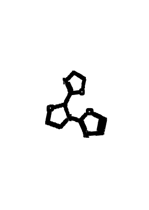 c1coc(N2CCO[C]2C2=NCCO2)n1